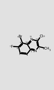 Cc1nc2ccc(F)c(Br)c2nc1Cl